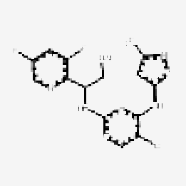 COCC(Nc1ncc(Cl)c(Nc2cc(C)[nH]n2)n1)c1ncc(F)cc1F